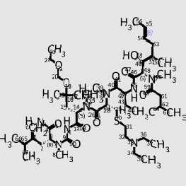 C=C(C[C@H](C(N)=O)N(C)C(=O)NC(=O)[C@H](CC(C)(C)OCOCC)N(C)C(=O)[C@@H](CSCCN(CC)CC)N(C)C(=O)[C@H](CC)NC(=O)[C@H]([C@H](O)[C@H](C)C/C=C/C)N(C)C(=O)CC(C)C)C(C)C